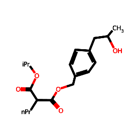 CCCC(C(=O)OCc1ccc(CC(C)O)cc1)C(=O)OC(C)C